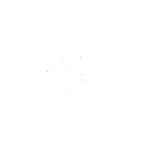 COc1nn(C(=O)NS(=O)(=O)c2ccccc2OC(F)(F)F)c(=O)n1C.N#Cc1cc(Br)c(O)c(Br)c1